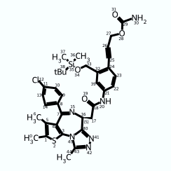 Cc1sc2c(c1C)C(c1ccc(Cl)cc1)=N[C@@H](CC(=O)Nc1ccc(C#CCOC(N)=O)c(CO[Si](C)(C)C(C)(C)C)c1)c1nnc(C)n1-2